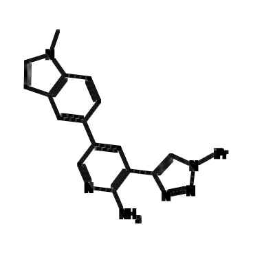 CC(C)n1cc(-c2cc(-c3ccc4c(ccn4C)c3)cnc2N)nn1